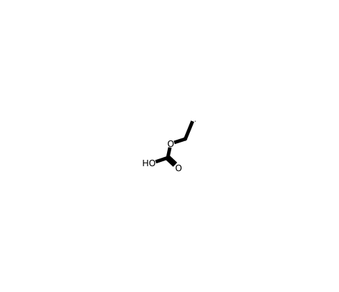 [CH2]COC(=O)O